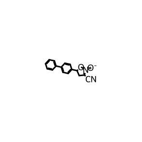 N#CC1=[N+]([O-])OC(c2ccc(-c3ccccc3)cc2)C1